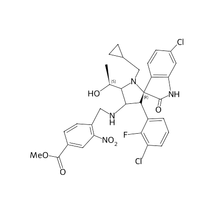 COC(=O)c1ccc(CNC2C([C@H](C)O)N(CC3CC3)[C@]3(C(=O)Nc4cc(Cl)ccc43)C2c2cccc(Cl)c2F)c([N+](=O)[O-])c1